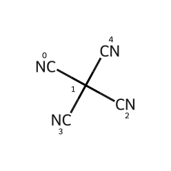 N#CC(C#N)(C#N)C#N